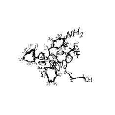 C#CCCCOC(=O)N(OC(=O)C(F)(F)F)C(Cc1ccc(N)cc1)P(=O)(Oc1ccccc1)Oc1ccccc1